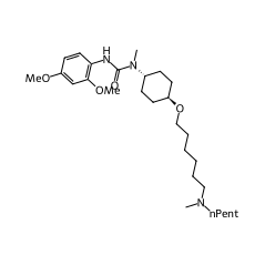 CCCCCN(C)CCCCCCO[C@H]1CC[C@H](N(C)C(=O)Nc2ccc(OC)cc2OC)CC1